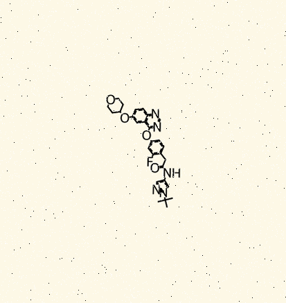 CC(C)(C)n1cc(NC(=O)Cc2ccc(Oc3ncnc4ccc(OC5CCOCC5)cc34)cc2F)cn1